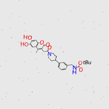 Cc1c(CC(=O)N2CCC(c3cccc(CNC(=O)OC(C)(C)C)c3)CC2)c(=O)oc2cc(O)c(O)cc12